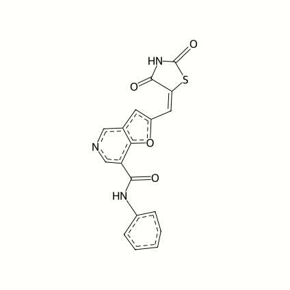 O=C1NC(=O)/C(=C\c2cc3cncc(C(=O)Nc4ccccc4)c3o2)S1